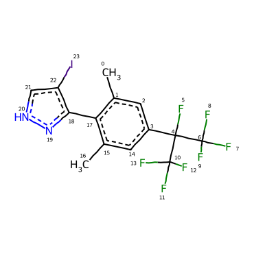 Cc1cc(C(F)(C(F)(F)F)C(F)(F)F)cc(C)c1-c1n[nH]cc1I